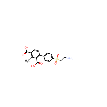 Cc1c(C(=O)O)ccc(-c2ccc(S(=O)(=O)CCN)cc2)c1C(=O)O